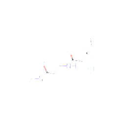 CCNC(=O)CCNC(=O)C(O)C(C)(C)CC